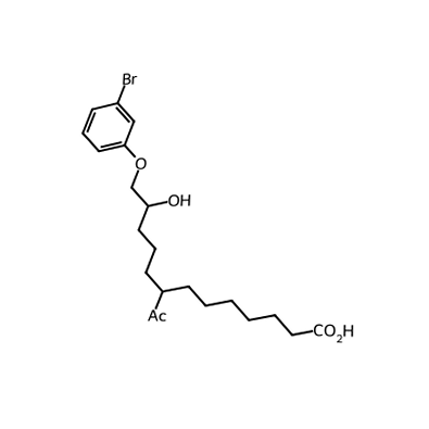 CC(=O)C(CCCCCCC(=O)O)CCCC(O)COc1cccc(Br)c1